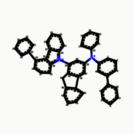 c1ccc(-c2cccc(N(c3ccccc3)c3cc4c(c(-n5c6ccccc6c6c(-c7ccccc7)cccc65)c3)Cc3ccccc3-4)c2)cc1